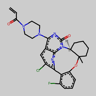 C=CC(=O)N1CCN(c2nc(=O)n3c4nc(c(Cl)cc24)-c2c(F)cccc2OC2(C)CCCC[C@H]32)CC1